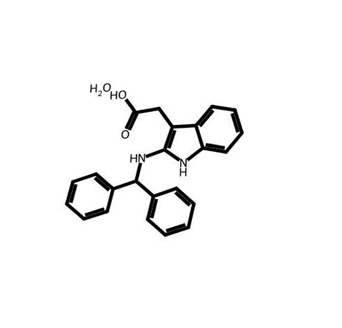 O.O=C(O)Cc1c(NC(c2ccccc2)c2ccccc2)[nH]c2ccccc12